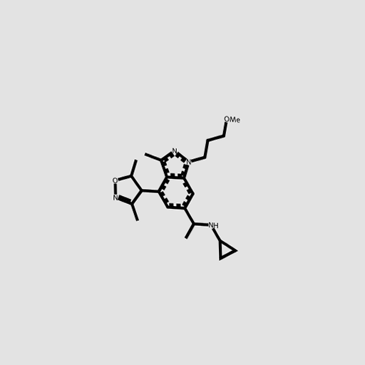 COCCCn1nc(C)c2c(C3C(C)=NOC3C)cc(C(C)NC3CC3)cc21